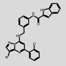 O=C(Nc1cccc(CNc2cc(-c3ccccc3Cl)nc3c(Br)cnn23)c1)c1cc2ccccc2[nH]1